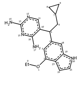 CCOc1cc(C(CC2CC2)c2cnc(N)nc2N)cc2[nH]ccc12